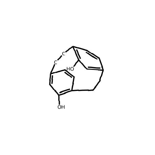 Oc1cc2ccc1CCc1ccc(c(O)c1)CC2